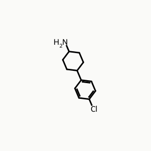 NC1CCC(c2ccc(Cl)cc2)CC1